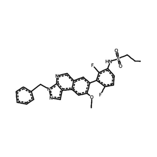 CCCS(=O)(=O)Nc1ccc(F)c(-c2cc3cnc4c(cnn4Cc4ccccc4)c3cc2OC)c1F